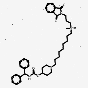 C[N+](C)(CCCCCCCCCN1CCC(OC(=O)NC(c2ccccc2)c2ccccc2)CC1)CCCN1C(=O)c2ccccc2C1=O